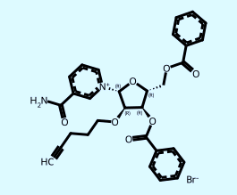 C#CCCCO[C@@H]1[C@H](OC(=O)c2ccccc2)[C@@H](COC(=O)c2ccccc2)O[C@H]1[n+]1cccc(C(N)=O)c1.[Br-]